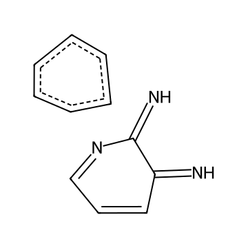 N=C1C=CC=NC1=N.c1ccccc1